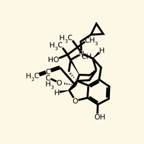 C=C=C[C@@]1(OC)[C@@H](C(C)(O)C(C)(C)C)CC2C[C@@]34CCN(CC5CC5)[C@@H]2Cc2ccc(O)c(c23)O[C@H]41